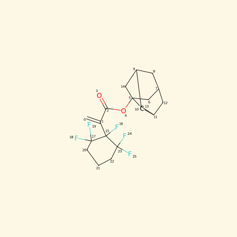 C=C(C(=O)OC12CC3CC(CC(C3)C1)C2)C1(F)C(F)(F)CCCC1(F)F